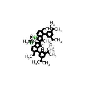 CCC1=Cc2c(ccc(CC)c2-c2cc(C(C)C)cc(C(C)C)c2)[CH]1[Zr]([Cl])([Cl])([CH]1C(CC)=Cc2c1ccc(CC)c2-c1cc(C(C)C)cc(C(C)C)c1)[SiH](C)C